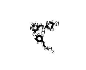 NCCc1ccc(Oc2cc(CNc3ncc(Cl)cn3)ncn2)cc1